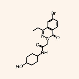 CCc1nn(CC(=O)NC2CCC(O)CC2)c(=O)c2ccc(Br)cc12